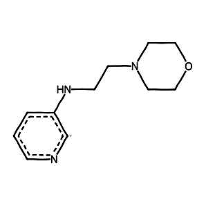 [c]1ncccc1NCCN1CCOCC1